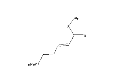 CCCCCCCC=CC(=S)SC(C)C